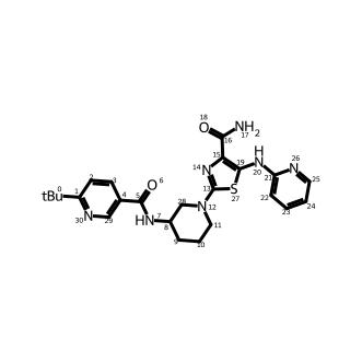 CC(C)(C)c1ccc(C(=O)NC2CCCN(c3nc(C(N)=O)c(Nc4ccccn4)s3)C2)cn1